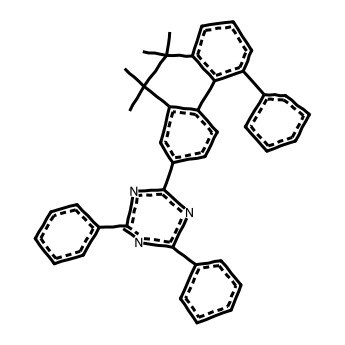 CC1(C)c2cc(-c3nc(-c4ccccc4)nc(-c4ccccc4)n3)ccc2-c2c(-c3ccccc3)cccc2C1(C)C